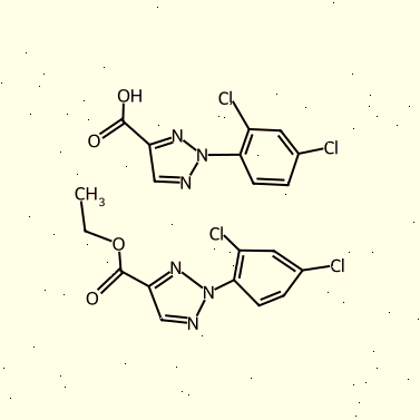 CCOC(=O)c1cnn(-c2ccc(Cl)cc2Cl)n1.O=C(O)c1cnn(-c2ccc(Cl)cc2Cl)n1